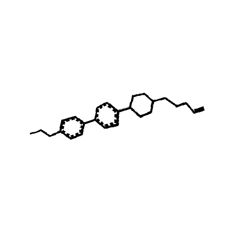 C=CCCCC1CCC(c2ccc(-c3ccc(CCC)cc3)cc2)CC1